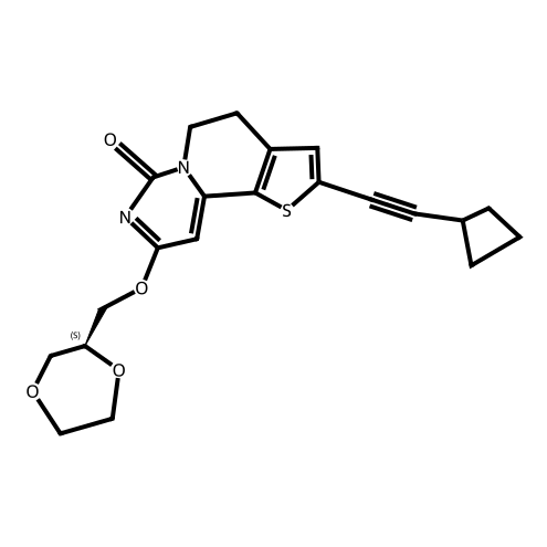 O=c1nc(OC[C@@H]2COCCO2)cc2n1CCc1cc(C#CC3CCC3)sc1-2